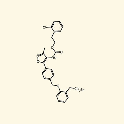 CCOC(=O)Cc1ccccc1OCc1ccc(-c2onc(C)c2NC(=O)OCCc2ccccc2Cl)cc1